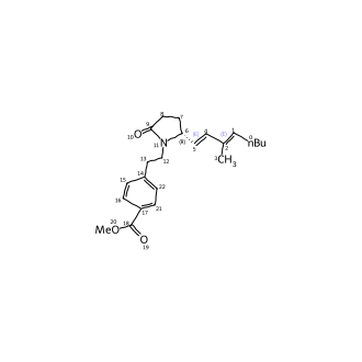 CCCC/C=C(C)/C=C/[C@H]1CCC(=O)N1CCc1ccc(C(=O)OC)cc1